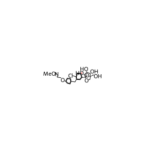 CO/N=C/COc1ccc(Cc2cc([C@]34OC[C@](CO)(O3)[C@@H](O)[C@H](O)[C@H]4O)ccc2Cl)cc1